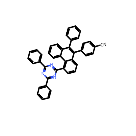 N#Cc1ccc(-c2c(-c3ccccc3)c3ccccc3c3c(-c4nc(-c5ccccc5)nc(-c5ccccc5)n4)cccc23)cc1